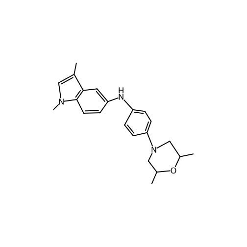 Cc1cn(C)c2ccc(Nc3ccc(N4CC(C)OC(C)C4)cc3)cc12